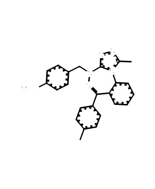 COc1ccc(CN2N=C(c3ccc(C)cc3)c3ccccc3-n3c(C)nnc32)cc1